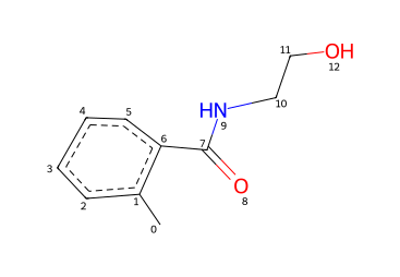 Cc1ccccc1C(=O)NCCO